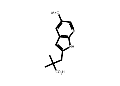 COc1cnc2[nH]c(CC(C)(C)C(=O)O)cc2c1